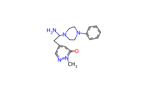 Cn1ncc(CC(N)N2CCN(c3ccccc3)CC2)cc1=O